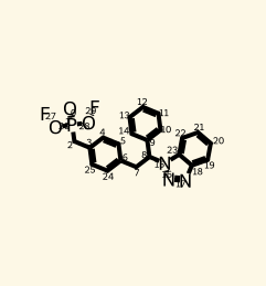 O=P(Cc1ccc(CC(c2ccccc2)n2nnc3ccccc32)cc1)(OF)OF